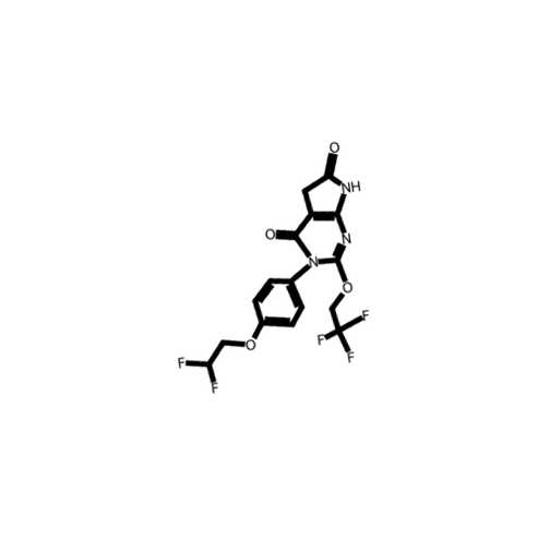 O=C1Cc2c(nc(OCC(F)(F)F)n(-c3ccc(OCC(F)F)cc3)c2=O)N1